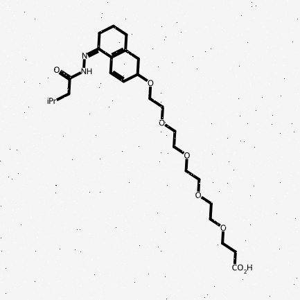 CC(C)CC(=O)N/N=C1/CCCC2=C1C=CC(OCCOCCOCCOCCOCCC(=O)O)C2